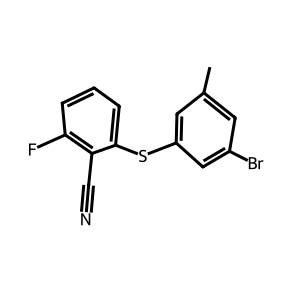 Cc1cc(Br)cc(Sc2cccc(F)c2C#N)c1